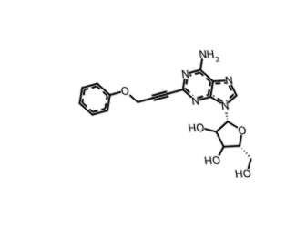 Nc1nc(C#CCOc2ccccc2)nc2c1ncn2[C@@H]1O[C@H](CO)C(O)C1O